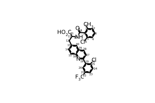 Cc1cccc(Cl)c1C(=O)NC(Cc1ccc2nc(-c3cc(C(F)(F)F)ccc3Cl)ccc2c1)C(=O)O